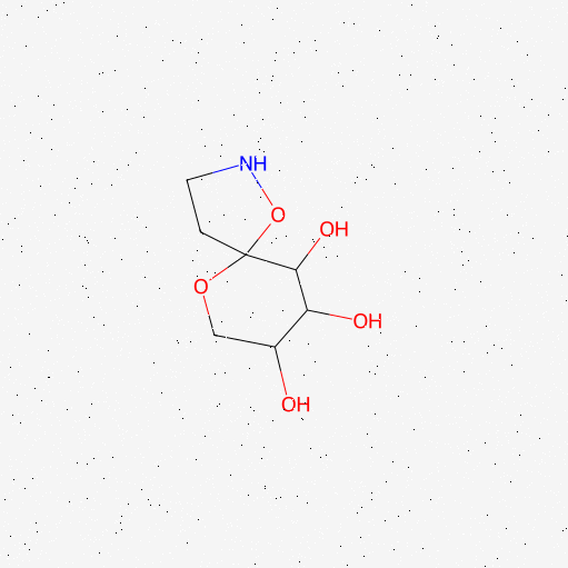 OC1COC2(CCNO2)C(O)C1O